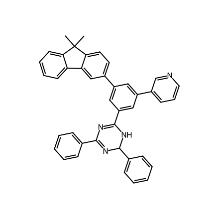 CC1(C)c2ccccc2-c2cc(-c3cc(C4=NC(c5ccccc5)=NC(c5ccccc5)N4)cc(-c4cccnc4)c3)ccc21